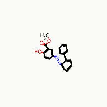 COC(=O)c1cc(N=Nc2ccccc2-c2ccccc2)ccc1O